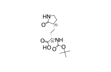 CC(C)(C)OC(=O)N[C@@H](CC[C@H]1CCNC1=O)C(=O)O